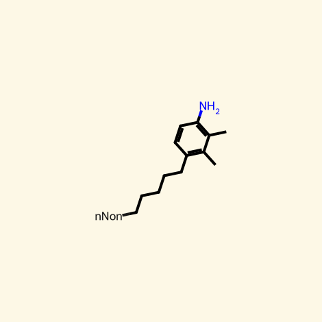 CCCCCCCCCCCCCCc1ccc(N)c(C)c1C